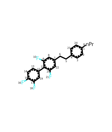 CCCc1ccc(CCc2cc(F)c(-c3ccc(F)c(F)c3)c(F)c2)cc1